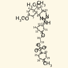 COc1ccc2c(c1)-c1nc(Nc3cccc(OCCOS(=O)(=O)c4ccc(C)cc4)c3)ncc1CC2(C)C